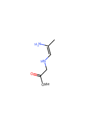 COC(=O)CNC=C(C)N